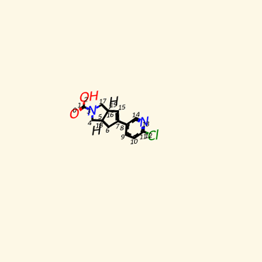 O=C(O)N1C[C@@H]2CC(c3ccc(Cl)nc3)=C[C@@H]2C1